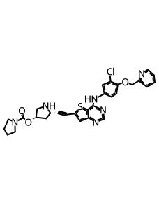 O=C(O[C@@H]1CN[C@H](C#Cc2cc3ncnc(Nc4ccc(OCc5ccccn5)c(Cl)c4)c3s2)C1)N1CCCC1